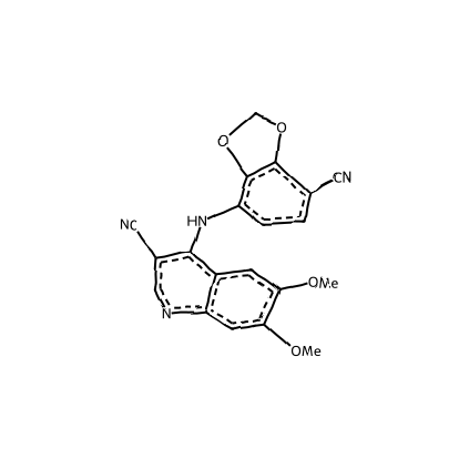 COc1cc2ncc(C#N)c(Nc3ccc(C#N)c4c3OCO4)c2cc1OC